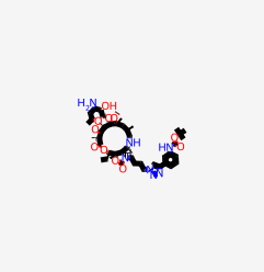 CC[C@H]1OC(=O)[C@H](C)C(=O)[C@H](C)[C@@H](O[C@@H]2OC(C)CC(N)C2O)[C@](C)(OC)C[C@@H](C)CN[C@H](C)[C@H]2N(CCCCn3cc(-c4cccc(NC(=O)OC(C)(C)C)c4)nn3)C(=O)O[C@]12C